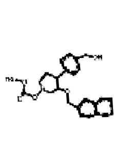 CC(C)(C)OC(=O)ON1CCC(c2ccc(CO)cc2)C(OCc2ccc3ccccc3c2)C1